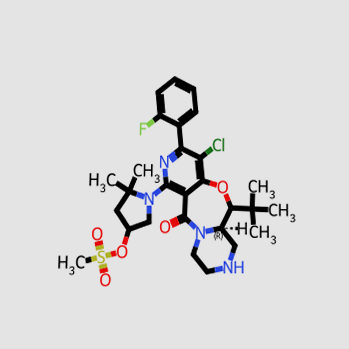 CC(C)(C)C1Oc2c(Cl)c(-c3ccccc3F)nc(N3CC(OS(C)(=O)=O)CC3(C)C)c2C(=O)N2CCNC[C@H]12